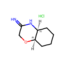 Cl.N=C1CO[C@@H]2CCCC[C@@H]2N1